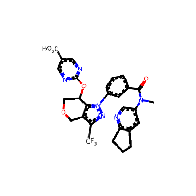 CN(C(=O)c1cccc(-n2nc(C(F)(F)F)c3c2C(Oc2ncc(C(=O)O)cn2)COC3)c1)c1cnc2c(c1)CCC2